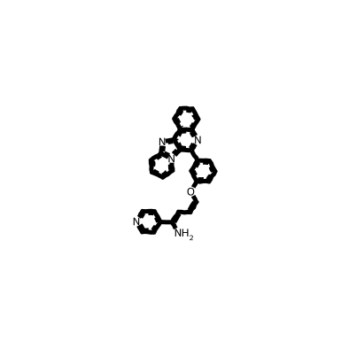 N/C(=C\C=C/Oc1cccc(-c2nc3ccccc3c3nc4ccccn4c23)c1)c1ccncc1